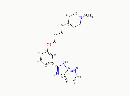 CN1CCC(CCCCOc2cccc(-c3nc4cccnc4[nH]3)c2)CC1